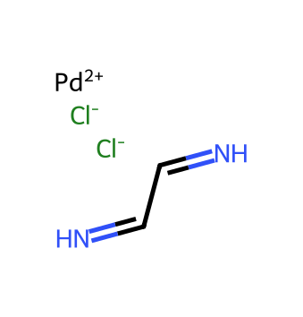 N=CC=N.[Cl-].[Cl-].[Pd+2]